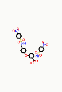 O=C(O)c1cc(Oc2ccc(CNS(=O)(=O)c3ccc([N+](=O)[O-])cc3)cc2)ccc1NS(=O)(=O)c1ccc([N+](=O)[O-])cc1